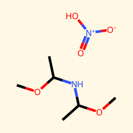 COC(C)NC(C)OC.O=[N+]([O-])O